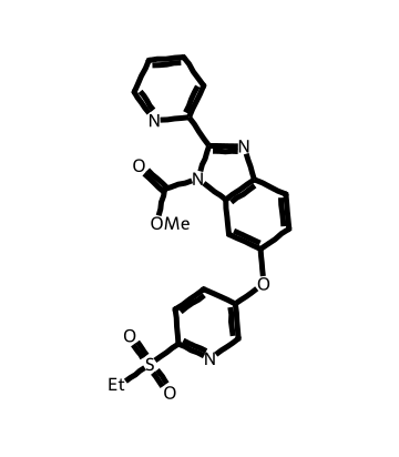 CCS(=O)(=O)c1ccc(Oc2ccc3nc(-c4ccccn4)n(C(=O)OC)c3c2)cn1